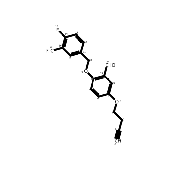 C#CCCOc1ccc(OCc2ccc(F)c(C(F)(F)F)c2)c(C=O)c1